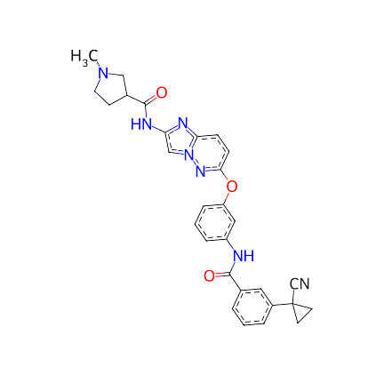 CN1CCC(C(=O)Nc2cn3nc(Oc4cccc(NC(=O)c5cccc(C6(C#N)CC6)c5)c4)ccc3n2)C1